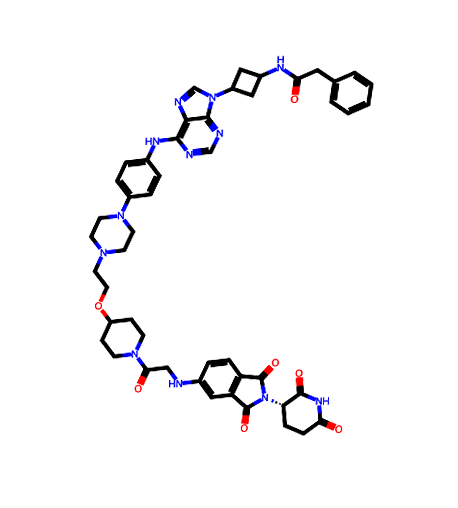 O=C1CC[C@H](N2C(=O)c3ccc(NCC(=O)N4CCC(OCCN5CCN(c6ccc(Nc7ncnc8c7ncn8C7CC(NC(=O)Cc8ccccc8)C7)cc6)CC5)CC4)cc3C2=O)C(=O)N1